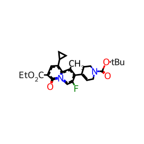 CCOC(=O)c1cc(C2CC2)c2c(C)c(C3=CCN(C(=O)OC(C)(C)C)CC3)c(F)cn2c1=O